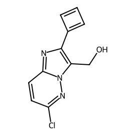 OCc1c(C2=CC=C2)nc2ccc(Cl)nn12